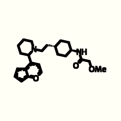 COCC(=O)N[C@H]1CC[C@H](CCN2CCCCC2c2ccoc3cccc2-3)CC1